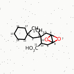 CC1(CC2(C)CC34OC3(CC2C(=O)O)O4)CCCCC1